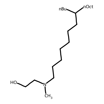 CCCCCCCCC(CCCC)CCCCCCCN(C)CCO